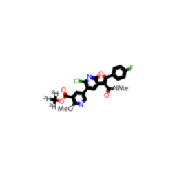 [2H]C([2H])([2H])OC(=O)c1cc(-c2cc3c(C(=O)NC)c(-c4ccc(F)cc4)oc3nc2Cl)cnc1OC